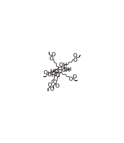 C=CC(=O)OCCCCCC(O)C(O)(CCCCCOC(=O)C=C)C(O)(CCCCCOC(=O)C=C)C(O)(CCCCCOC(=O)C=C)C(O)(CCCCCOC(=O)C=C)C(C)(O)CCCCCOC(=O)C=C